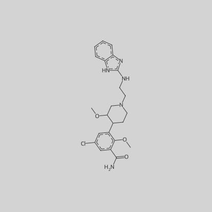 COc1c(C(N)=O)cc(Cl)cc1C1CCN(CCNc2nc3ccccc3[nH]2)CC1OC